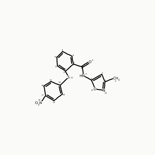 Cc1cc(NC(=O)c2ccccc2Sc2ccc([N+](=O)[O-])cc2)on1